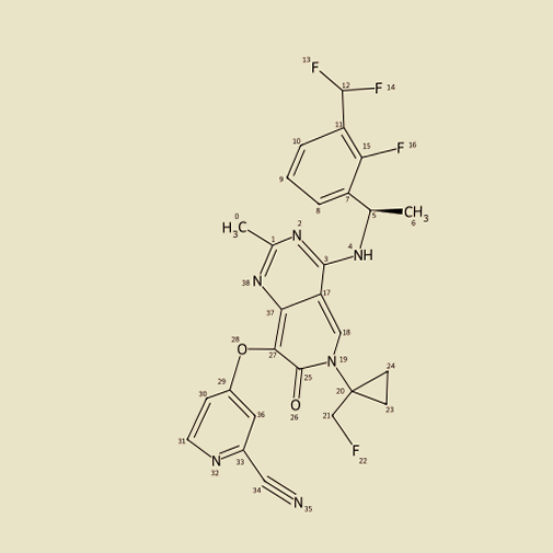 Cc1nc(N[C@H](C)c2cccc(C(F)F)c2F)c2cn(C3(CF)CC3)c(=O)c(Oc3ccnc(C#N)c3)c2n1